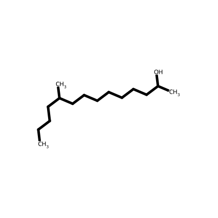 CCCCC(C)CCCCCCCC(C)O